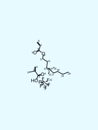 C=C(C)C(=O)O.C=CC(=O)OCCC[N+](C)(C)CCCC.F[P-](F)(F)(F)(F)F